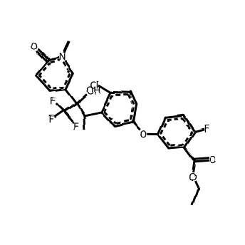 CCOC(=O)c1cc(Oc2ccc(Cl)c(C(C)C(O)(c3ccc(=O)n(C)c3)C(F)(F)F)c2)ccc1F